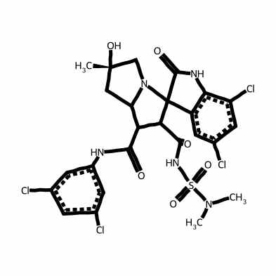 CN(C)S(=O)(=O)NC(=O)C1C(C(=O)Nc2cc(Cl)cc(Cl)c2)C2C[C@](C)(O)CN2C12C(=O)Nc1c(Cl)cc(Cl)cc12